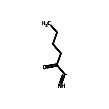 CCCCC(=O)[C]=N